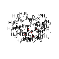 [3H]P(P(P(P(P)P)P(P)P)P(P(P(B)P)P(P)P)P(P(P)P)P(P)P)P(P(P(P(P)P)P(P)P)P(P(P)P)P(P)P)P(P(P(P)P)P(P)P)P(P(P)P)P(P)P